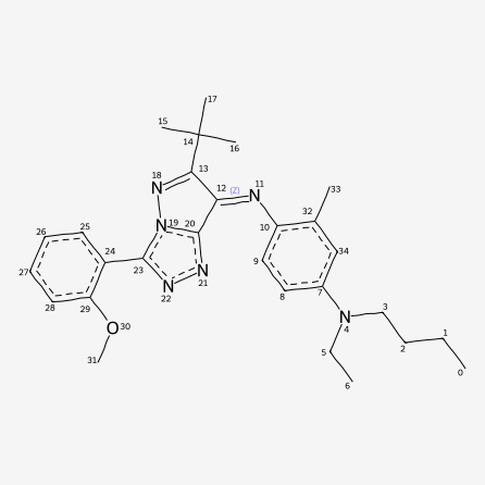 CCCCN(CC)c1ccc(/N=C2/C(C(C)(C)C)=Nn3c2nnc3-c2ccccc2OC)c(C)c1